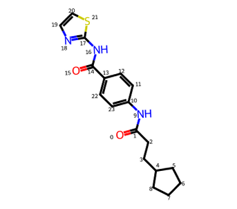 O=C(CCC1CCCC1)Nc1ccc(C(=O)Nc2nccs2)cc1